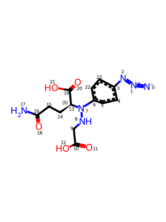 [N-]=[N+]=Nc1ccc(N(NCC(=O)O)[C@@H](CCC(N)=O)C(=O)O)cc1